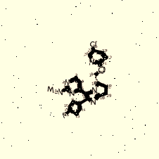 CNc1nccc(-c2c(-c3ccc(F)cc3)nc3n2[C@H](COc2ccc(Cl)cn2)CC3)n1